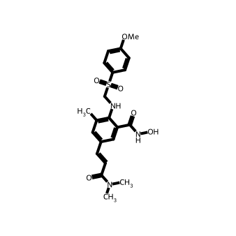 COc1ccc(S(=O)(=O)CNc2c(C)cc(/C=C/C(=O)N(C)C)cc2C(=O)NO)cc1